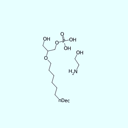 CCCCCCCCCCCCCCCCOC(CO)COP(=O)(O)O.NCCO